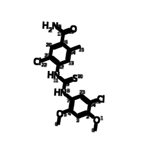 COc1cc(OC)c(NC(=S)Nc2cc(C)c(C(N)=O)cc2Cl)cc1Cl